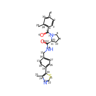 Cc1ccc(C(=O)N2CCC[C@H]2C(=O)NCc2ccc(-c3scnc3C)cc2)c(C)c1